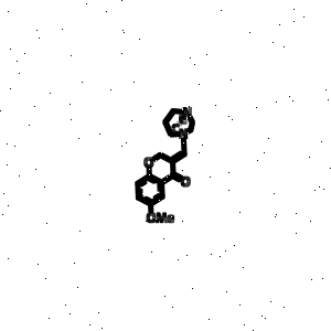 COc1ccc2c(c1)C(=O)/C(=C/N1CCN3CCC1CC3)CO2